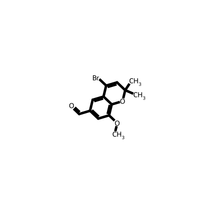 COc1cc(C=O)cc2c1OC(C)(C)C=C2Br